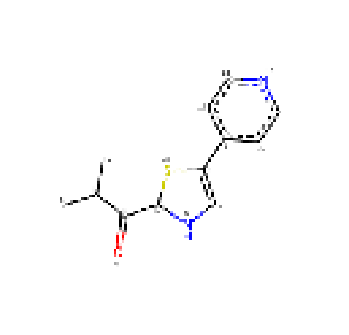 CC(C)C(=O)C1NC=C(c2ccncc2)S1